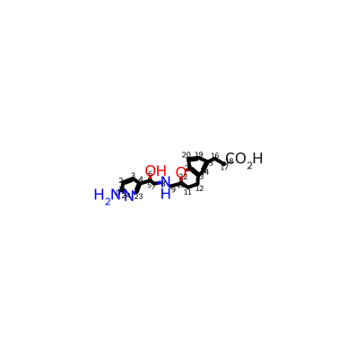 Nc1ccc(C(O)CNCC2CCc3cc(CCC(=O)O)ccc3O2)cn1